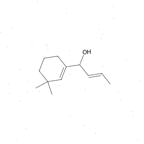 C/C=C/C(O)C1=CC(C)(C)CCC1